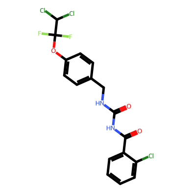 O=C(NCc1ccc(OC(F)(F)C(Cl)Cl)cc1)NC(=O)c1ccccc1Cl